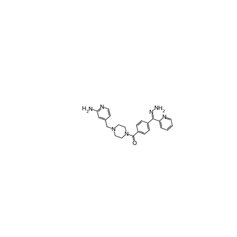 NN=C(c1ccc(C(=O)N2CCN(Cc3ccnc(N)c3)CC2)cc1)c1ccccn1